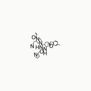 C=CC(=O)N1CCN(C2NC(OCC3CCCN3C)NC3C[C@]4(CCC32)Cc2ccc(C)cc2O4)CC1CC#N